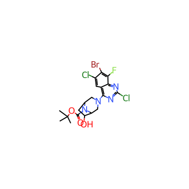 CC(C)(C)OC(=O)N1C2CC(O)C1CN(c1nc(Cl)nc3c(F)c(Br)c(Cl)cc13)C2